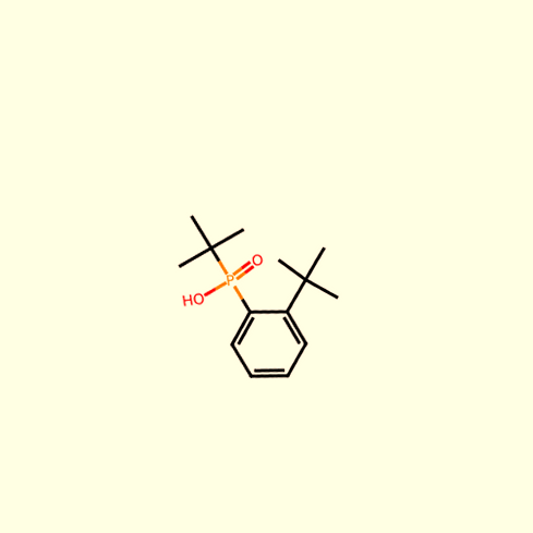 CC(C)(C)c1ccccc1P(=O)(O)C(C)(C)C